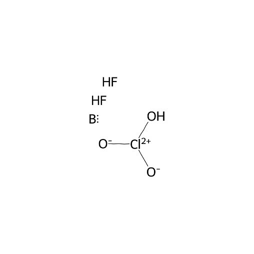 F.F.[B].[O-][Cl+2]([O-])O